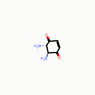 N[C@@H]1C(=O)C=CC(=O)[C@H]1N